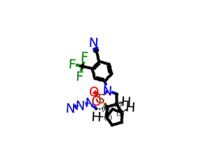 N#Cc1ccc(N2C[C@H]3[C@H]4CC[C@H](C4)[C@@]3(CN=[N+]=[N-])S2(=O)=O)cc1C(F)(F)F